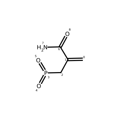 C=C(CP(=O)=O)C(N)=O